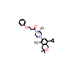 CC(C)[C@@H]1CN(c2cc(C3CC3)c3c(c2C#N)CC(C)(C)OC3)CCN1C(=O)CCOc1ccccc1